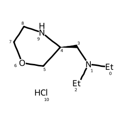 CCN(CC)C[C@H]1COCCN1.Cl